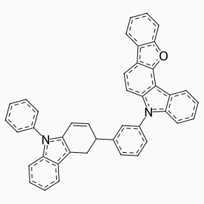 C1=CC(c2cccc(-n3c4ccccc4c4c5oc6ccccc6c5ccc43)c2)Cc2c1n(-c1ccccc1)c1ccccc21